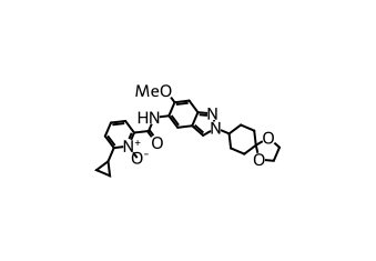 COc1cc2nn(C3CCC4(CC3)OCCO4)cc2cc1NC(=O)c1cccc(C2CC2)[n+]1[O-]